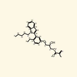 C=C(C)C(=O)OCC(O)COc1ccc(CC)c(-c2cc3ccccc3n2CCCCC)c1